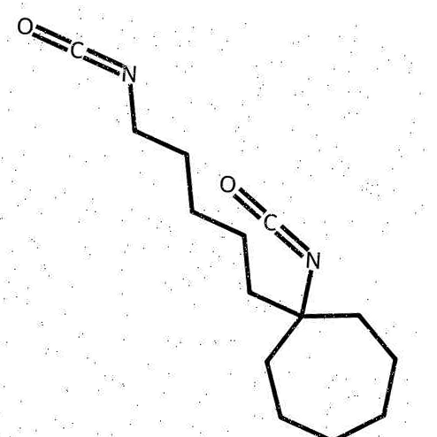 O=C=NCCCCCC1(N=C=O)CCCCCC1